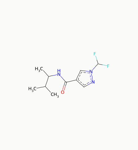 CC(C)C(C)NC(=O)c1cnn(C(F)F)c1